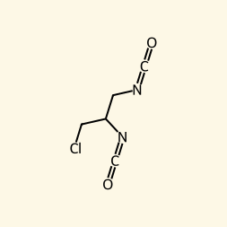 O=C=NCC(CCl)N=C=O